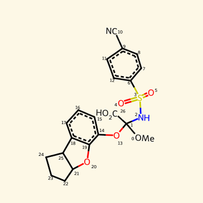 COC(NS(=O)(=O)c1ccc(C#N)cc1)(Oc1cccc2c1OC1CCCC21)C(=O)O